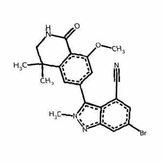 COc1cc(-c2c3c(C#N)cc(Br)cc3nn2C)cc2c1C(=O)NCC2(C)C